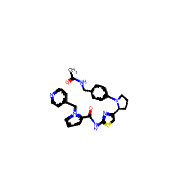 CC(=O)NCc1ccc(N2CCCC2c2csc(NC(=O)c3cccn3Cc3ccncc3)n2)cc1